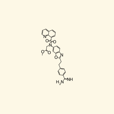 COC(=O)CN(c1ccc2nc(CCc3ccc(C(=N)N)cc3)oc2c1)S(=O)(=O)c1cccc2cccnc12